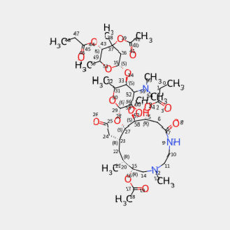 CCC(=O)O[C@@H]1CC(=O)NCCN(C)C[C@H](OC(C)=O)[C@H](C)C[C@H](CC=O)[C@H](O[C@@H]2OC(C)[C@@H](O[C@H]3CC(C)(OC(C)=O)[C@@H](OC(=O)CC)C(C)O3)C(N(C)C)C2O)[C@H]1OC